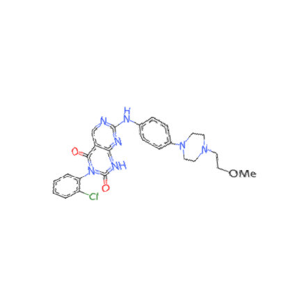 COCCN1CCN(c2ccc(Nc3ncc4c(=O)n(-c5ccccc5Cl)c(=O)[nH]c4n3)cc2)CC1